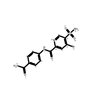 NC(=O)c1ccc(NC(=O)c2cc(Br)c(S(N)(=O)=O)cn2)cc1